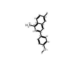 COc1ccc(-c2cc3cc(C)ccc3c(N)n2)cc1